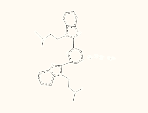 CN(C)CCn1c(-c2cccc(-c3nc4ccccc4n3CCN(C)C)n2)nc2ccccc21.[Cl-].[Cl-].[Cl-].[Fe+3]